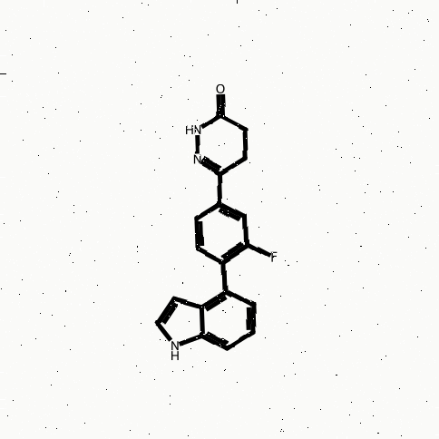 O=C1CCC(c2ccc(-c3cccc4[nH]ccc34)c(F)c2)=NN1